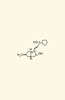 C=C1C[C@H]2C[C@@H](O)[C@H](C=C[C@H](O)C3CCCC3)[C@@H]2C1